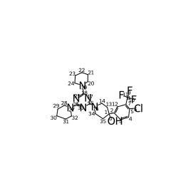 OC1(c2ccc(Cl)c(C(F)(F)F)c2)CCN(c2nc(N3CCCCC3)nc(N3CCCCC3)n2)CC1